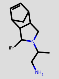 CC(C)C1C2C3C=CC(C3)C2CN1C(C)CN